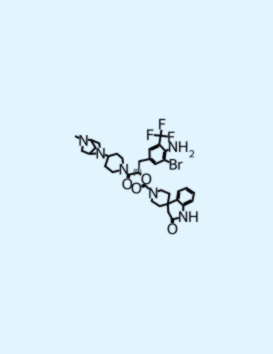 CN1CC2CC1CN2C1CCN(C(=O)[C@@H](Cc2cc(Br)c(N)c(C(F)(F)F)c2)OC(=O)N2CCC3(CC2)CC(=O)Nc2ccccc23)CC1